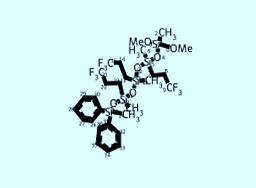 CO[Si](C)(OC)O[Si](C)(CCC(F)(F)F)O[Si](C)(CCC(F)(F)F)O[Si](C)(CCC(F)(F)F)O[Si](C)(c1ccccc1)c1ccccc1